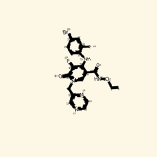 CCONC(=O)c1cn(Cc2cnccn2)c(=O)c(F)c1Nc1ccc(Br)cc1F